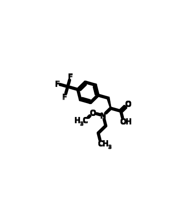 CCCN(OC)[C@@H](Cc1ccc(C(F)(F)F)cc1)C(=O)O